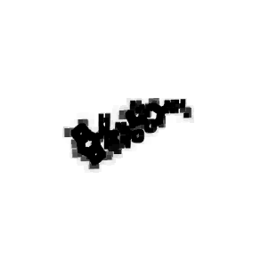 NC1COc2c(S(N)(=O)=NC(=O)Nc3c4c(cc5c3CC5)CC4)cnn2C1